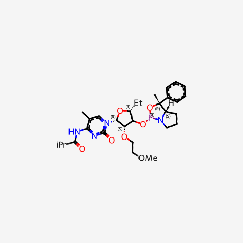 CC[C@H]1O[C@@H](n2cc(C)c(NC(=O)C(C)C)nc2=O)[C@@H](OCCOC)C1O[P@@]1O[C@](C)(c2ccccc2)[C@@H]2CCCN21